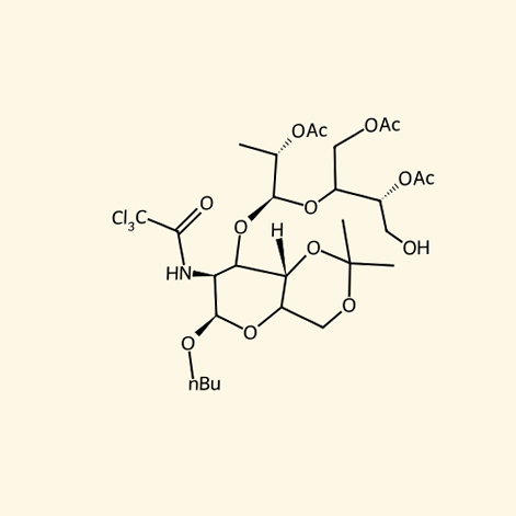 CCCCO[C@@H]1OC2COC(C)(C)O[C@H]2C(O[C@H](OC(COC(C)=O)[C@@H](CO)OC(C)=O)[C@H](C)OC(C)=O)[C@@H]1NC(=O)C(Cl)(Cl)Cl